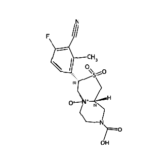 Cc1c([C@H]2C[N+]3([O-])CCN(C(=O)O)C[C@H]3CS2(=O)=O)ccc(F)c1C#N